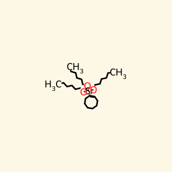 CCCCCCO[Si](OCCCCCC)(OCCCCCC)/C1=C/CCCCCC1